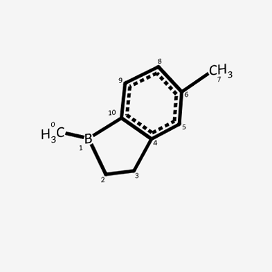 CB1CCc2cc(C)ccc21